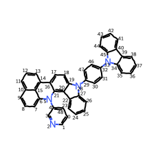 c1cncc(N2c3cccc4cccc(c34)-c3ccc4c(c32)c2ccccc2n4-c2ccc(-n3c4ccccc4c4ccccc43)cc2)c1